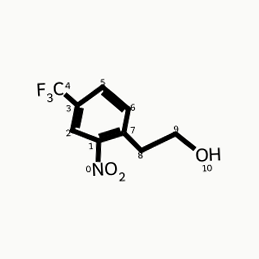 O=[N+]([O-])c1cc(C(F)(F)F)ccc1CCO